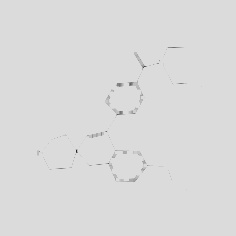 CCN(CC)C(=O)c1ccc(C2=CC3(CCNCC3)Cc3ccc(OC)cc32)cn1